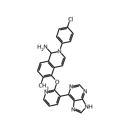 Cc1ccc2c(c1Oc1ncccc1-c1ncnc3[nH]cnc13)C=CN(c1ccc(Cl)cc1)C2N